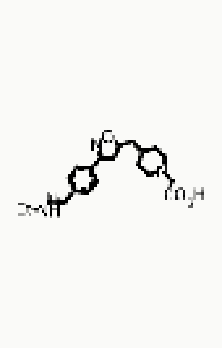 CCNN=Cc1ccc(C2=NOC(CC3CCN(CC(=O)O)CC3)C2)cc1